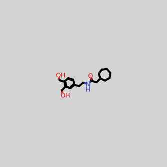 O=C(CC1CCCCCC1)NCCc1ccc(CO)c(CO)c1